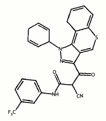 N#CC(C(=O)Nc1cccc(C(F)(F)F)c1)C(=O)c1nn(C2C=CCC=C2)c2c1=CSC1=CC=CCC=21